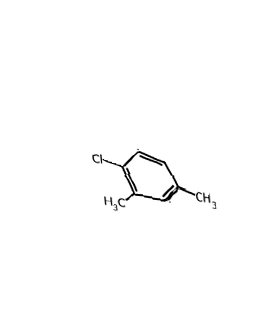 Cc1[c]c(C)c(Cl)[c]c1